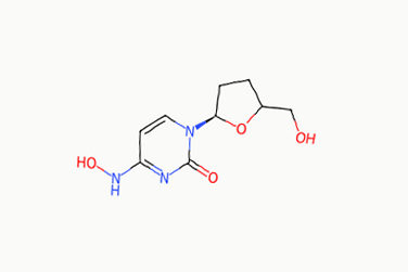 O=c1nc(NO)ccn1[C@H]1CCC(CO)O1